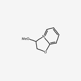 COC1COc2cccc[n+]21